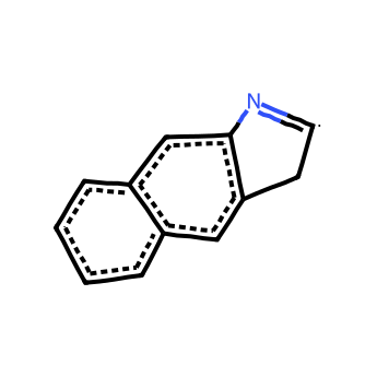 [C]1=Nc2cc3ccccc3cc2C1